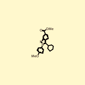 COC(=O)c1ccc2c(C3CCCCC3)n(-c3ccc(OC)cc3)nc2c1